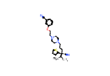 CC(C)C(C#N)(CCCN1CCN(CCOc2cccc(C#N)c2)CC1)c1cccs1